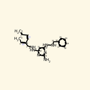 C=C/C=C\C(=C/C)CNNc1cc(NNCc2ccccc2)nc(N)n1